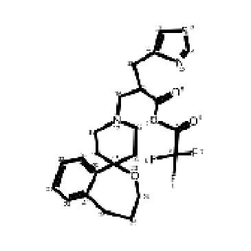 O=C(OC(=O)C(F)(F)F)C(Cc1cscn1)CN1CCC2(CC1)OCCCc1ccccc12